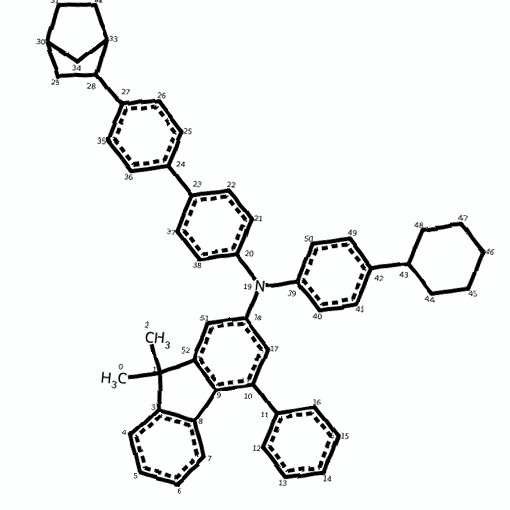 CC1(C)c2ccccc2-c2c(-c3ccccc3)cc(N(c3ccc(-c4ccc(C5CC6CCC5C6)cc4)cc3)c3ccc(C4CCCCC4)cc3)cc21